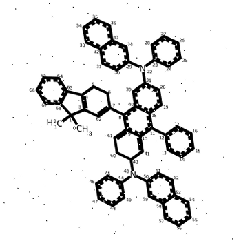 CC1(C)C2=C(CCC(c3c4c(c(-c5ccccc5)c5ccc(N(c6ccccc6)c6ccc7ccccc7c6)cc35)=CC(N(c3ccccc3)c3ccc5ccccc5c3)CC=4)=C2)c2ccccc21